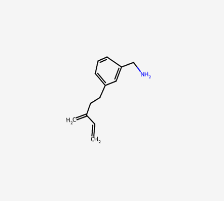 C=CC(=C)CCc1cccc(CN)c1